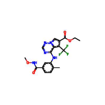 CCOC(=O)c1cn2ncnc(Nc3cc(C(=O)NOC)ccc3C)c2c1C(F)(F)F